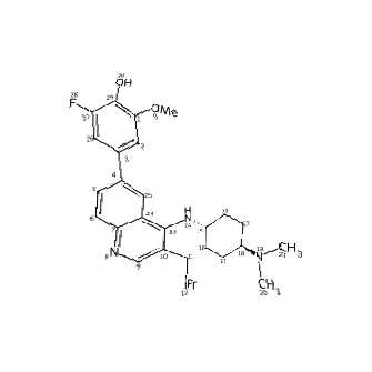 COc1cc(-c2ccc3ncc(CC(C)C)c(N[C@H]4CC[C@H](N(C)C)CC4)c3c2)cc(F)c1O